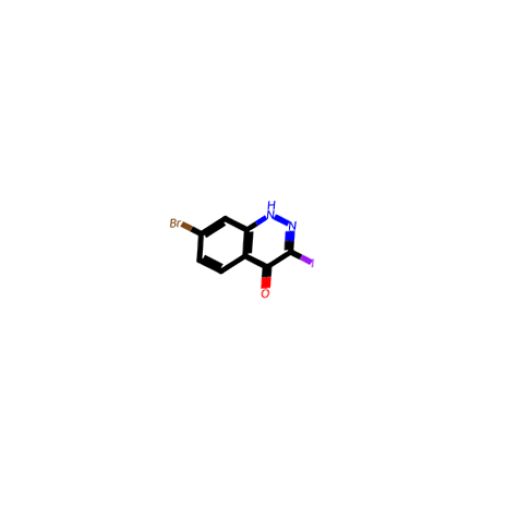 O=c1c(I)n[nH]c2cc(Br)ccc12